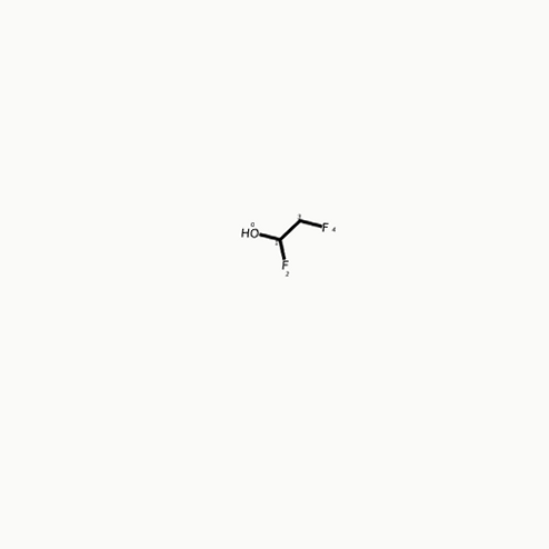 OC(F)CF